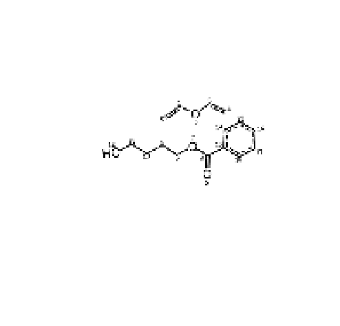 C=COC=C.O=C(OCCCCO)c1ccccc1